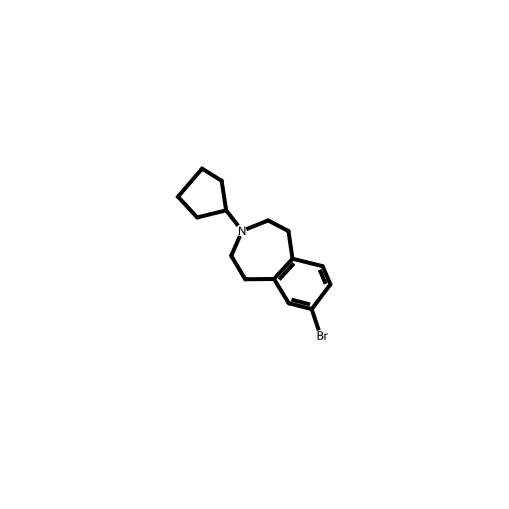 Brc1ccc2c(c1)CCN(C1CCCC1)CC2